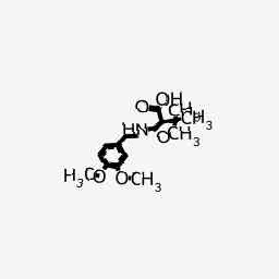 COc1ccc(CCNC(=O)C(C(=O)O)C(C)(C)C)cc1OC